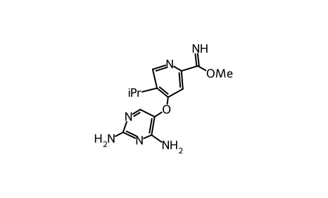 COC(=N)c1cc(Oc2cnc(N)nc2N)c(C(C)C)cn1